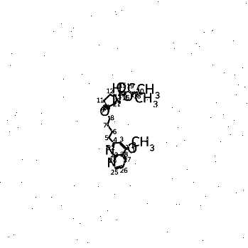 COc1cc(CCCCO[C@@H]2CCN(C(=O)OC(C)(C)C)C2)nc2ncccc12